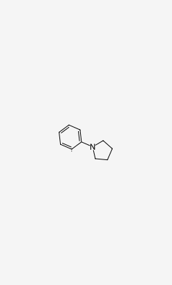 [c]1ccccc1N1CCCC1